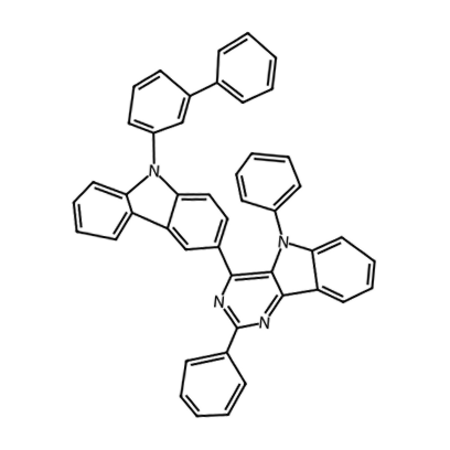 c1ccc(-c2cccc(-n3c4ccccc4c4cc(-c5nc(-c6ccccc6)nc6c7ccccc7n(-c7ccccc7)c56)ccc43)c2)cc1